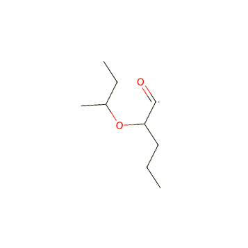 CCCC([C]=O)OC(C)CC